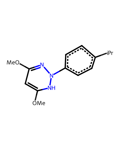 COC1=CC(OC)=NN(c2ccc(C(C)C)cc2)N1